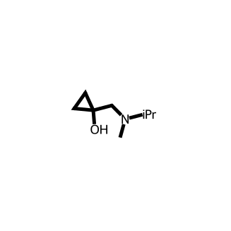 CC(C)N(C)CC1(O)CC1